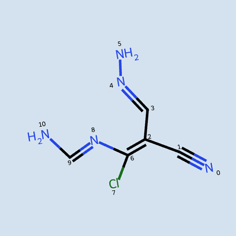 N#CC(C=NN)=C(Cl)N=CN